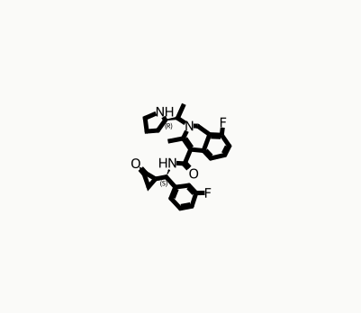 CC1=C(C(=O)N[C@H](c2cccc(F)c2)C2CC2=O)c2cccc(F)c2CN1C(C)[C@H]1CCCN1